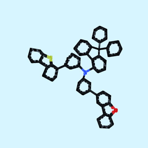 c1ccc(C2(c3ccccc3)c3ccccc3-c3c(N(c4cccc(-c5ccc6oc7ccccc7c6c5)c4)c4cccc(-c5cccc6c5sc5ccccc56)c4)cccc32)cc1